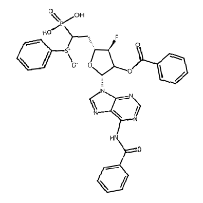 O=C(Nc1ncnc2c1ncn2[C@@H]1O[C@H](CC([S+]([O-])c2ccccc2)P(=O)(O)O)[C@@H](F)C1OC(=O)c1ccccc1)c1ccccc1